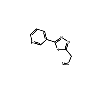 COCC1=NN=C(c2cccnc2)[N]1